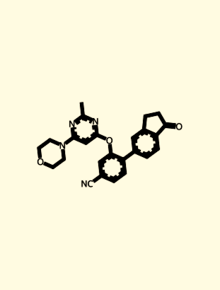 Cc1nc(Oc2cc(C#N)ccc2-c2ccc3c(c2)CCC3=O)cc(N2CCOCC2)n1